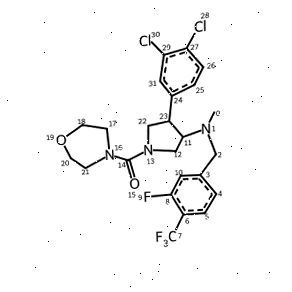 CN(Cc1ccc(C(F)(F)F)c(F)c1)C1CN(C(=O)N2CCOCC2)CC1c1ccc(Cl)c(Cl)c1